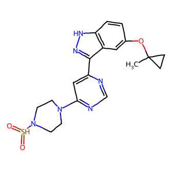 CC1(Oc2ccc3[nH]nc(-c4cc(N5CCN([SH](=O)=O)CC5)ncn4)c3c2)CC1